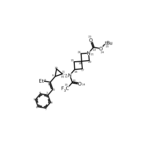 CCC(=Cc1ccccc1)C1C[C@@H]1N(C(=O)C(F)(F)F)C1CC2(C1)CN(C(=O)OC(C)(C)C)C2